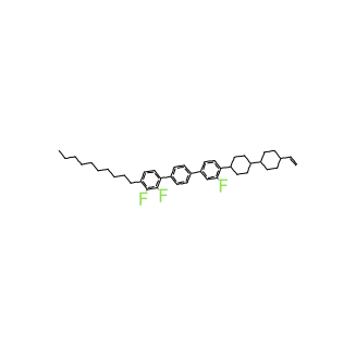 C=CC1CCC(C2CCC(c3ccc(-c4ccc(-c5ccc(CCCCCCCCCC)c(F)c5F)cc4)cc3F)CC2)CC1